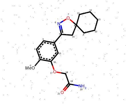 COc1ccc(C2=NOC3(CCCCC3)C2)cc1OCC(N)=O